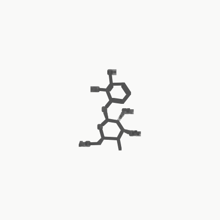 CC(=O)OC[C@H]1O[C@@H](Oc2cccc(O)c2O)[C@H](OC(C)=O)[C@@H](OC(C)=O)C1C